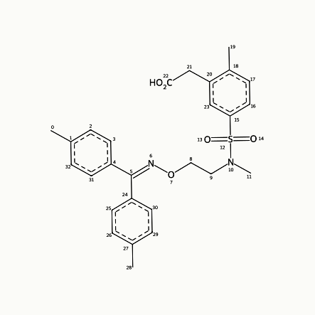 Cc1ccc(C(=NOCCN(C)S(=O)(=O)c2ccc(C)c(CC(=O)O)c2)c2ccc(C)cc2)cc1